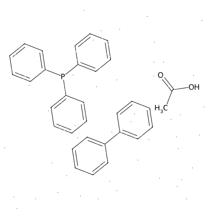 CC(=O)O.c1ccc(-c2ccccc2)cc1.c1ccc(P(c2ccccc2)c2ccccc2)cc1